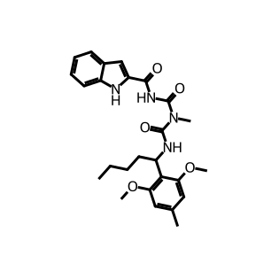 CCCCC(NC(=O)N(C)C(=O)NC(=O)c1cc2ccccc2[nH]1)c1c(OC)cc(C)cc1OC